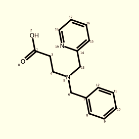 O=C(O)CCN(Cc1ccccc1)Cc1ccccn1